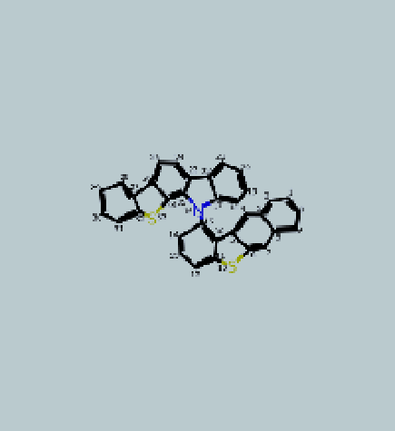 c1ccc2cc3c(cc2c1)sc1cccc(-n2c4ccccc4c4ccc5c6ccccc6sc5c42)c13